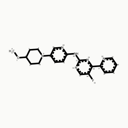 COC1CCN(c2ccc(Nc3ncc(F)c(-c4ccccn4)n3)nc2)CC1